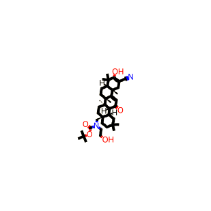 CC1(C)CC[C@]2(CN(CCO)C(=O)OC(C)(C)C)CC[C@]3(C)[C@H](C(=O)C=C4[C@@]5(C)CC(C#N)=C(O)C(C)(C)[C@@H]5CC[C@]43C)[C@@H]2C1